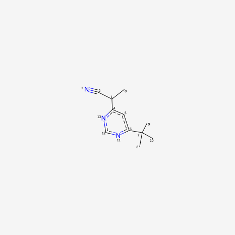 CC(C#N)c1cc(C(C)(C)C)ncn1